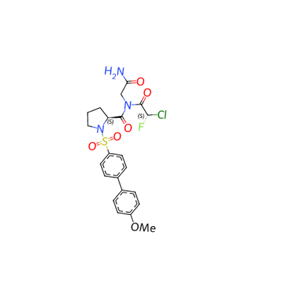 COc1ccc(-c2ccc(S(=O)(=O)N3CCC[C@H]3C(=O)N(CC(N)=O)C(=O)[C@@H](F)Cl)cc2)cc1